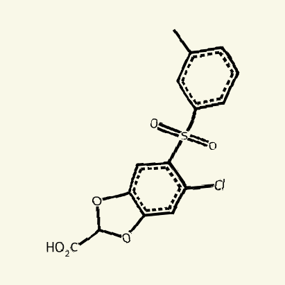 Cc1cccc(S(=O)(=O)c2cc3c(cc2Cl)OC(C(=O)O)O3)c1